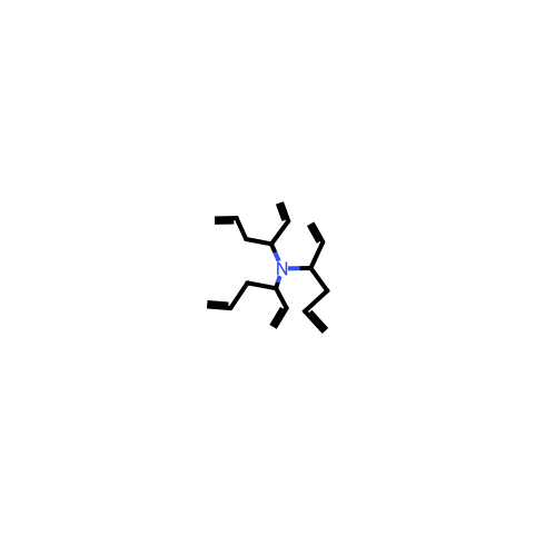 C=CCC(C=C)N(C(C=C)CC=C)C(C=C)CC=C